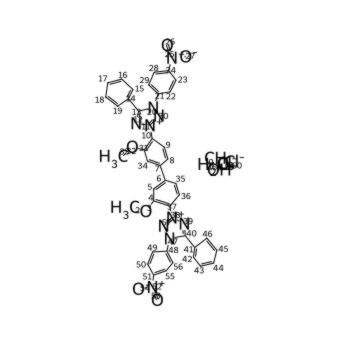 CO.COc1cc(-c2ccc(-[n+]3nc(-c4ccccc4)n(-c4ccc([N+](=O)[O-])cc4)n3)c(OC)c2)ccc1-[n+]1nc(-c2ccccc2)n(-c2ccc([N+](=O)[O-])cc2)n1.O.[Cl-].[Cl-]